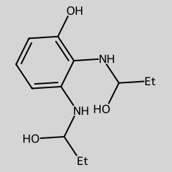 CCC(O)Nc1cccc(O)c1NC(O)CC